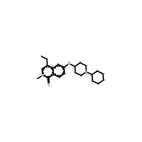 CCc1cn(C)c(=O)c2ccc(OC3CCN(C4CCCCC4)CC3)cc12